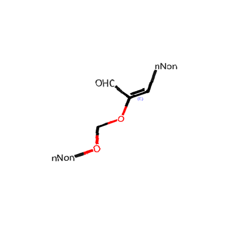 CCCCCCCCC/C=C(\C=O)OCOCCCCCCCCC